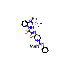 CN/C(=N\c1ccccc1)N1CCc2nc(C(=O)Nc3ccccc3N(C(=O)O)C(C)(C)C)sc2C1